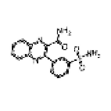 NC(=O)c1nc2ccccc2nc1-c1cccc(S(N)(=O)=O)c1